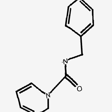 O=C([N]Cc1ccccc1)N1C=CC=CC1